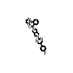 O=C(c1ccccc1-n1nccn1)N1CC2CN(c3ncc(-c4ccc(F)cc4)cn3)CC2C1